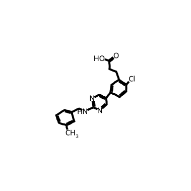 Cc1cccc(CNc2ncc(-c3ccc(Cl)c(CCC(=O)O)c3)cn2)c1